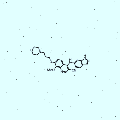 COc1c(OCCCN2CCOCC2)ccc2c(Nc3ccc4cn[nH]c4c3)c(C#N)cnc12